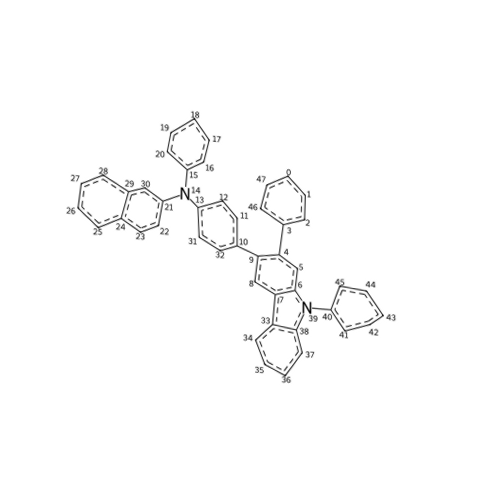 c1ccc(-c2cc3c(cc2-c2ccc(N(c4ccccc4)c4ccc5ccccc5c4)cc2)c2ccccc2n3-c2ccccc2)cc1